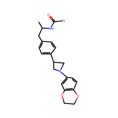 CCC(=O)NC(C)Cc1ccc(C2CN(c3ccc4c(c3)OCCO4)C2)cc1